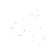 COc1ccc(F)cc1C(C)(C)CC(O)(NCc1cc(C(F)(F)F)cc(Cl)c1F)C(F)(F)F